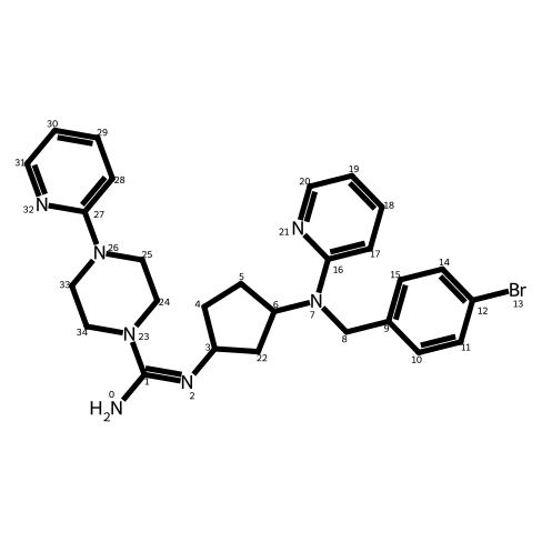 NC(=NC1CCC(N(Cc2ccc(Br)cc2)c2ccccn2)C1)N1CCN(c2ccccn2)CC1